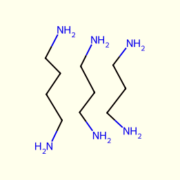 NCCCCN.NCCCN.NCCCN